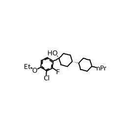 CCCC1CCC([C@H]2CC[C@](O)(c3ccc(OCC)c(Cl)c3F)CC2)CC1